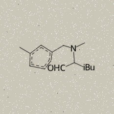 CCC(C)C(C=O)N(C)Cc1cccc(C)c1